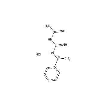 C[C@H](NC(=N)NC(=N)N)c1ccccc1.Cl